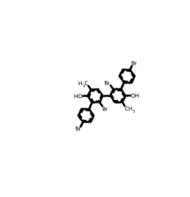 Cc1cc(-c2cc(C)c(O)c(-c3ccc(Br)cc3)c2Br)c(Br)c(-c2ccc(Br)cc2)c1O